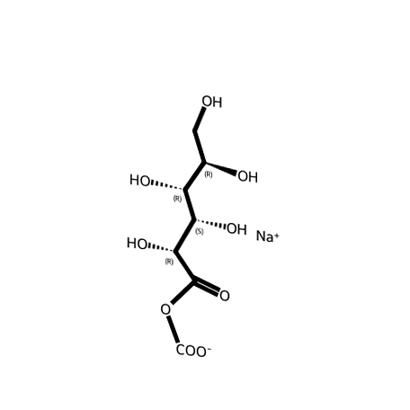 O=C([O-])OC(=O)[C@H](O)[C@@H](O)[C@H](O)[C@H](O)CO.[Na+]